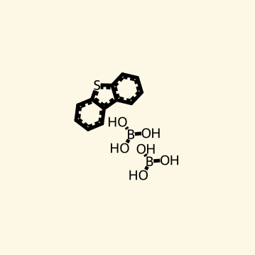 OB(O)O.OB(O)O.c1ccc2c(c1)sc1ccccc12